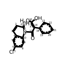 C=C1C=Cc2cc(Cl)ccc2N1C(=O)/C(=C(\C)O)c1ccccc1